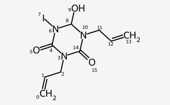 C=CCN1C(=O)N(I)C(O)N(CC=C)C1=O